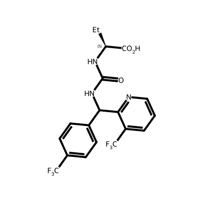 CC[C@H](NC(=O)NC(c1ccc(C(F)(F)F)cc1)c1ncccc1C(F)(F)F)C(=O)O